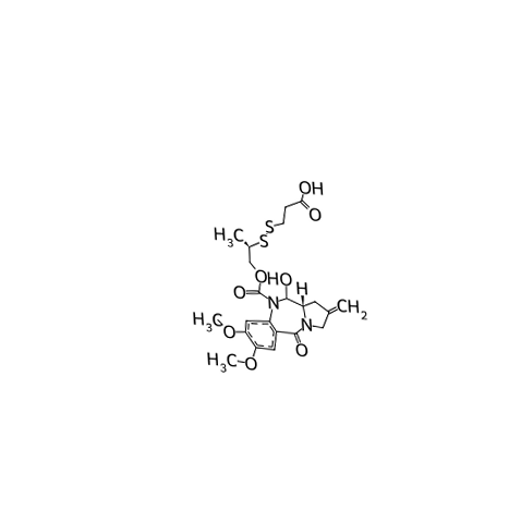 C=C1C[C@H]2C(O)N(C(=O)OC[C@@H](C)SSCCC(=O)O)c3cc(OC)c(OC)cc3C(=O)N2C1